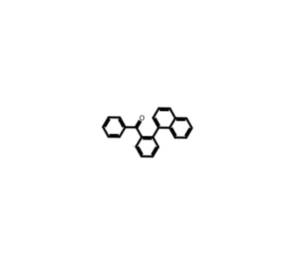 O=C(c1ccccc1)c1[c]cccc1-c1cccc2ccccc12